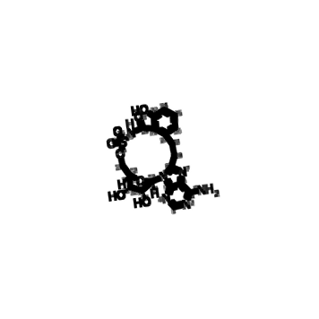 Nc1ncnc2c1nc1n2[C@@H]2O[C@H](COS(=O)(=O)NC(=O)c3c(O)cccc3CC1)[C@@H](O)[C@H]2O